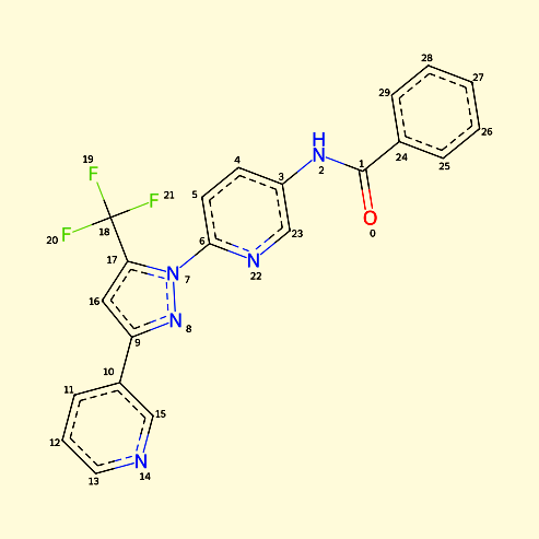 O=C(Nc1ccc(-n2nc(-c3cccnc3)cc2C(F)(F)F)nc1)c1ccccc1